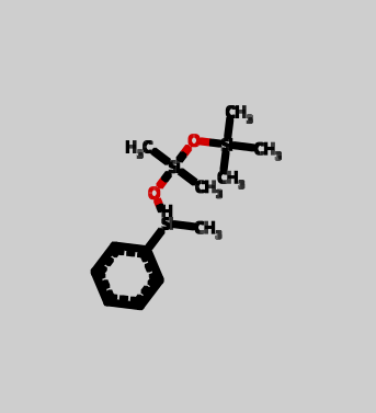 C[SiH](O[Si](C)(C)O[Si](C)(C)C)c1ccccc1